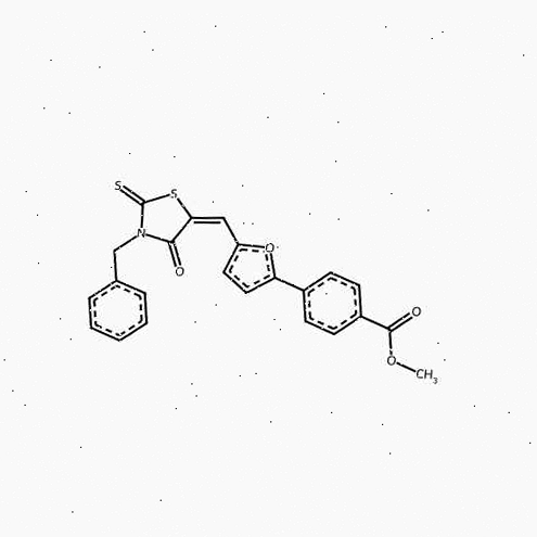 COC(=O)c1ccc(-c2ccc(/C=C3/SC(=S)N(Cc4ccccc4)C3=O)o2)cc1